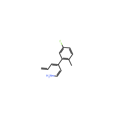 C=C/C=C(\C=C/N)c1cc(F)ccc1C